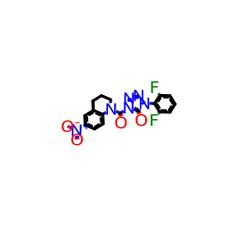 O=C(N1CCCc2cc([N+](=O)[O-])ccc21)n1nnn(-c2c(F)cccc2F)c1=O